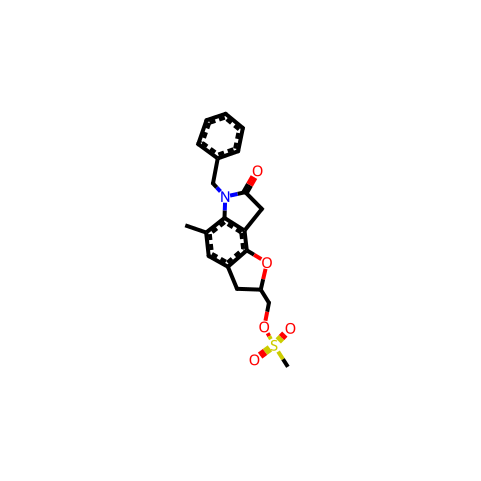 Cc1cc2c(c3c1N(Cc1ccccc1)C(=O)C3)OC(COS(C)(=O)=O)C2